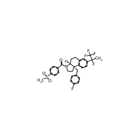 CC(F)(c1ccc2c(c1)CC[C@H]1N(C(=O)c3ccc(S(C)(=O)=O)cc3)CC[C@@]21Cc1ccc(F)cc1)C(F)(F)F